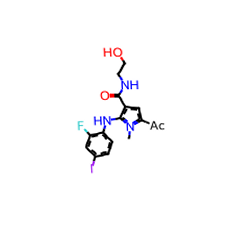 CC(=O)c1cc(C(=O)NCCO)c(Nc2ccc(I)cc2F)n1C